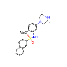 COc1ccc(N2C[C@@H](C)N[C@@H](C)C2)cc1NS(=O)(=O)c1ccc2ccccc2c1